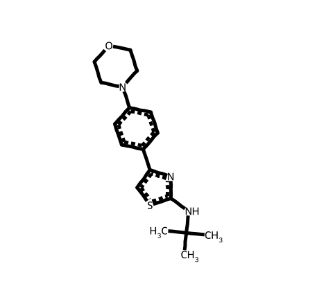 CC(C)(C)Nc1nc(-c2ccc(N3CCOCC3)cc2)cs1